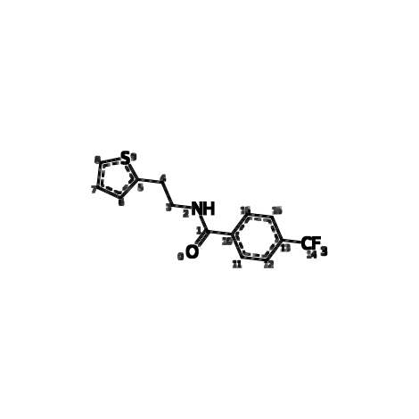 O=C(NCCc1cccs1)c1ccc(C(F)(F)F)cc1